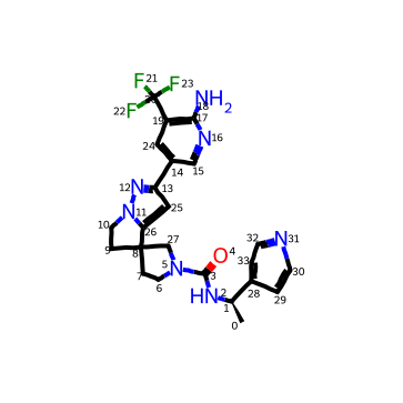 C[C@@H](NC(=O)N1CCC2(CCn3nc(-c4cnc(N)c(C(F)(F)F)c4)cc32)C1)c1ccncc1